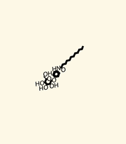 CCCCCCCCCCCC(=O)Nc1ccc(OC2O[C@H](CO)[C@@H](O)[C@H](O)[C@H]2O)cc1